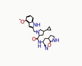 COc1cccc2[nH]c(CN3CC(C4CC4)CC3C(=O)NC(C#N)CC3CCNC3=O)cc12